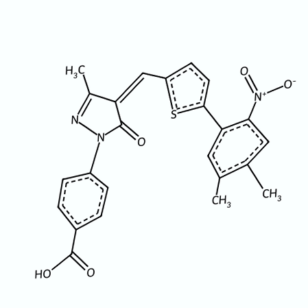 CC1=NN(c2ccc(C(=O)O)cc2)C(=O)C1=Cc1ccc(-c2cc(C)c(C)cc2[N+](=O)[O-])s1